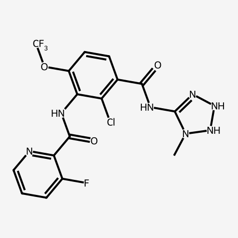 CN1NNN=C1NC(=O)c1ccc(OC(F)(F)F)c(NC(=O)c2ncccc2F)c1Cl